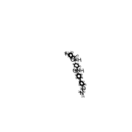 C[C@@H](NC(=O)[C@H]1CC[C@H](N[S+]([O-])c2ccc(-c3ccc(OCCN(C)C)cc3)cc2)CC1)c1ccc(F)cc1